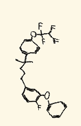 CC(C)(CCCc1ccc(F)c(Oc2ccccc2)c1)c1ccc(OC(F)(F)C(F)F)cc1